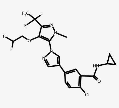 Cn1nc(C(F)(F)C(F)(F)F)c(OCC(F)F)c1-n1cc(-c2ccc(Cl)c(C(=O)NC3CC3)c2)cn1